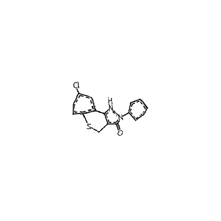 O=c1c2c([nH]n1-c1ccccc1)-c1cc(Cl)ccc1SC2